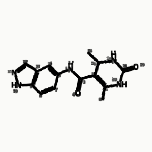 CC1=C(C(=O)Nc2ccc3[nH]ncc3c2)C(C)NC(=O)N1